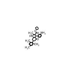 CC1=C(C(=O)OC2CCCC2)C(c2cccc(N)c2)C2=C(CC(c3c(C)cc(C)cc3C)CC2=O)N1